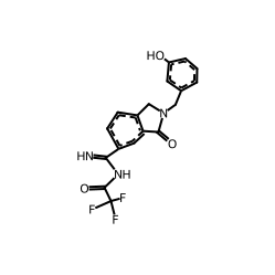 N=C(NC(=O)C(F)(F)F)c1ccc2c(c1)C(=O)N(Cc1cccc(O)c1)C2